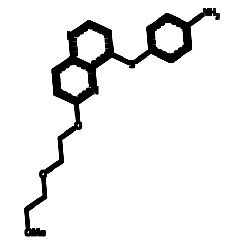 COCCOCCOc1ccc2nccc(Sc3ccc(N)cc3)c2n1